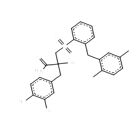 Cc1ccc(C)c(Cc2ccccc2S(=O)(=O)CC(O)(Cc2ccc(C#N)c(C(F)(F)F)c2)C(N)=O)c1